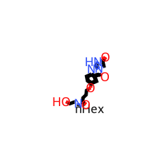 CCCCCCN(CCO)C(=O)CCCOc1ccc2nc3n(c(=O)c2c1)CC(=O)N3